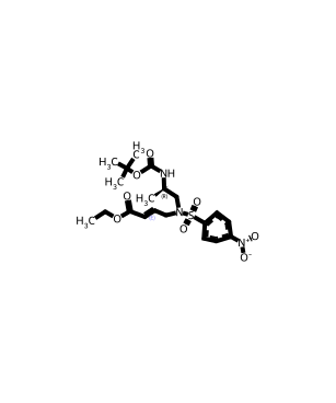 CCOC(=O)/C=C/CN(C[C@@H](C)NC(=O)OC(C)(C)C)S(=O)(=O)c1ccc([N+](=O)[O-])cc1